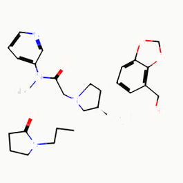 CCCCN(C(=O)CN1C[C@H](c2cc(CO)c3c(c2)OCO3)[C@@H](C(=O)O)[C@@H]1CCCN1CCCC1=O)c1cccnc1